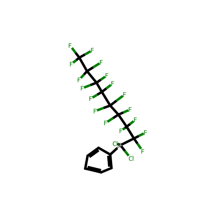 FC(F)(F)C(F)(F)C(F)(F)C(F)(F)C(F)(F)C(F)(F)C(F)(F)C(F)(F)[Si](Cl)(Cl)c1ccccc1